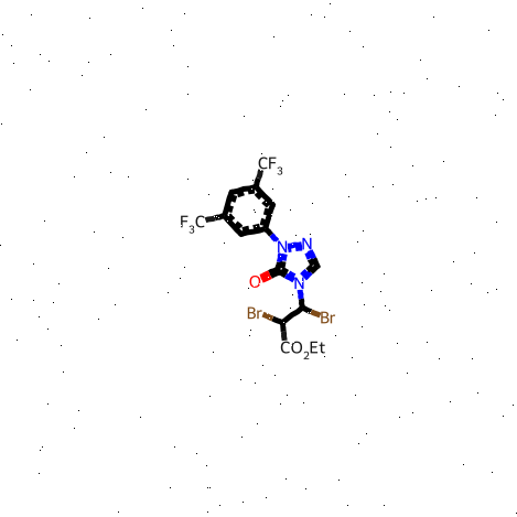 CCOC(=O)C(Br)C(Br)n1cnn(-c2cc(C(F)(F)F)cc(C(F)(F)F)c2)c1=O